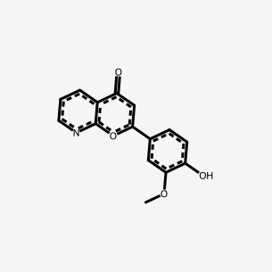 COc1cc(-c2cc(=O)c3cccnc3o2)ccc1O